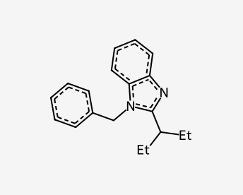 CCC(CC)c1nc2ccccc2n1Cc1ccccc1